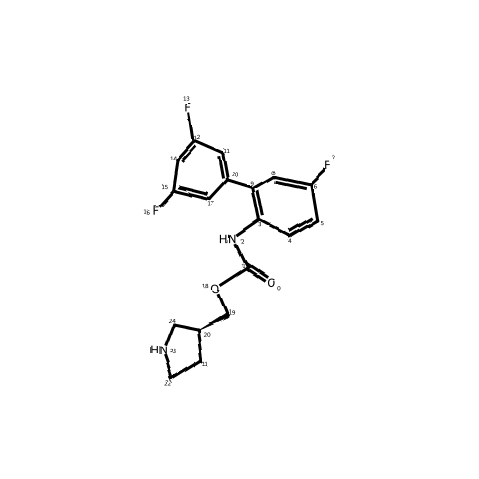 O=C(Nc1ccc(F)cc1-c1cc(F)cc(F)c1)OC[C@H]1CCNC1